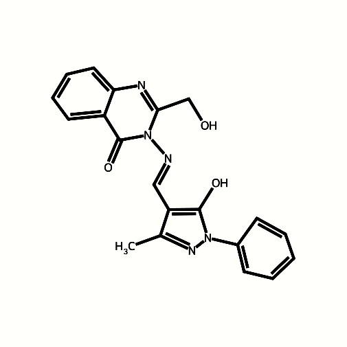 Cc1nn(-c2ccccc2)c(O)c1C=Nn1c(CO)nc2ccccc2c1=O